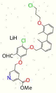 COC(=O)c1cncc(COc2cc(OCc3cccc(-c4cccc(OCCCCl)c4C)c3C)c(Cl)cc2C=O)c1.[LiH]